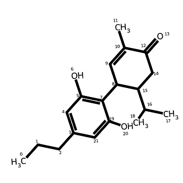 CCCc1cc(O)c(C2C=C(C)C(=O)CC2C(C)C)c(O)c1